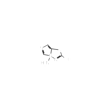 N[N+]12C=NC=C1SC(O)=N2